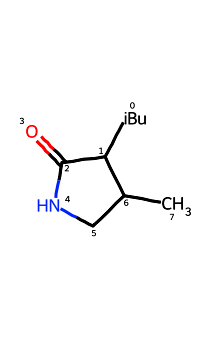 CCC(C)C1C(=O)NCC1C